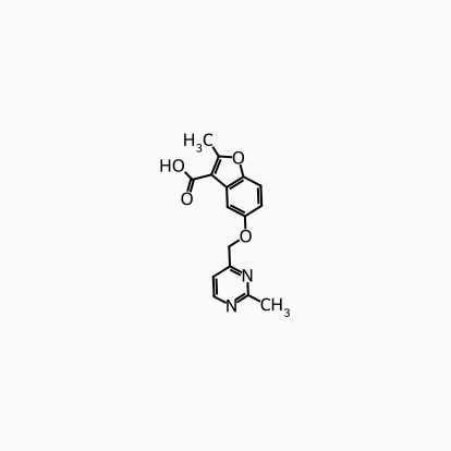 Cc1nccc(COc2ccc3oc(C)c(C(=O)O)c3c2)n1